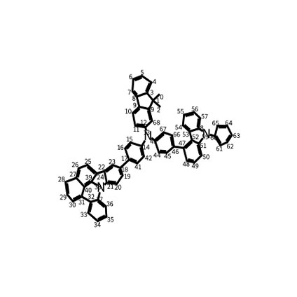 CC1(C)c2ccccc2-c2ccc(N(c3ccc(-c4ccc5c(c4)c4ccc6cccc7c8ccccc8n5c4c67)cc3)c3ccc(-c4cccc5c4c4ccccc4n5-c4ccccc4)cc3)cc21